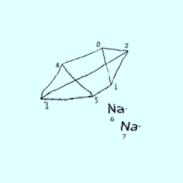 C12C3C1C1C2C31.[Na].[Na]